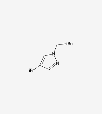 CC(C)c1cnn(CC(C)(C)C)c1